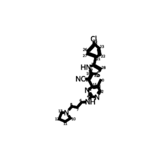 Cc1cnc(NCCCN2CCCC2)nc1C(C#N)=C1NC(c2ccc(Cl)cc2)=CS1